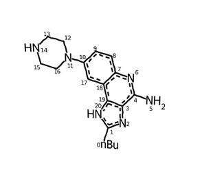 CCCCc1nc2c(N)nc3ccc(N4CCNCC4)cc3c2[nH]1